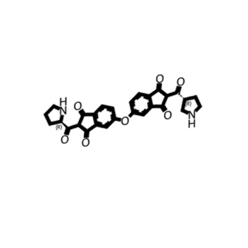 O=C1c2ccc(Oc3ccc4c(c3)C(=O)C(C(=O)[C@H]3CCCN3)C4=O)cc2C(=O)C1C(=O)[C@@H]1CCNC1